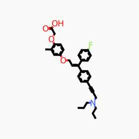 CCCN(CC#Cc1ccc(/C(=C/COc2ccc(OCC(=O)O)c(C)c2)c2ccc(F)cc2)cc1)CCC